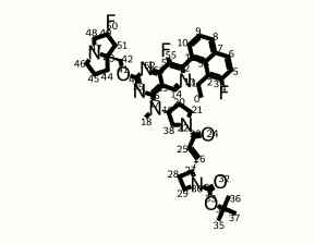 CCc1c(F)ccc2cccc(-c3ncc4c(N(C)[C@@H]5CCN(C(=O)/C=C/[C@H]6CCN6C(=O)OC(C)(C)C)C5)nc(OC[C@@]56CCCN5C[C@H](F)C6)nc4c3F)c12